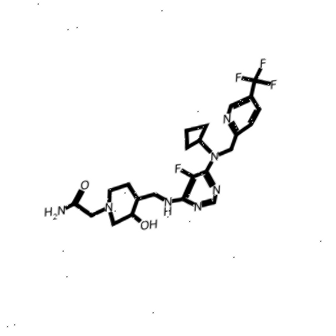 NC(=O)CN1CCC(CNc2ncnc(N(Cc3ccc(C(F)(F)F)cn3)C3CCC3)c2F)C(O)C1